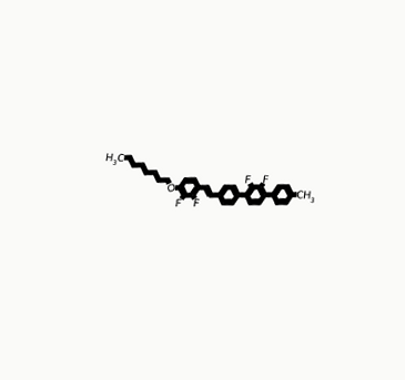 CCCCCCCCOc1ccc(/C=C/c2ccc(-c3ccc(-c4ccc(C)cc4)c(F)c3F)cc2)c(F)c1F